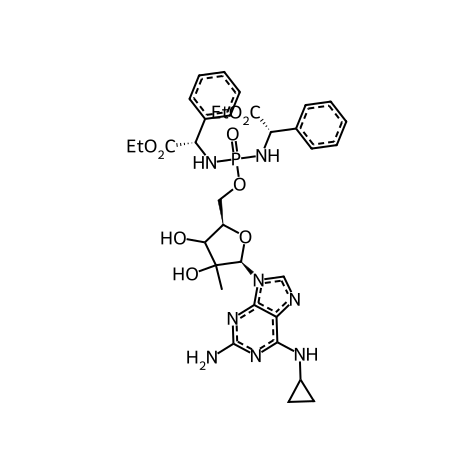 CCOC(=O)[C@@H](NP(=O)(N[C@H](C(=O)OCC)c1ccccc1)OC[C@H]1O[C@@H](n2cnc3c(NC4CC4)nc(N)nc32)C(C)(O)C1O)c1ccccc1